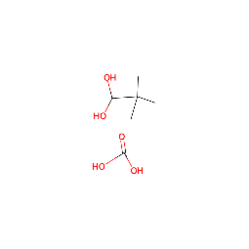 CC(C)(C)C(O)O.O=C(O)O